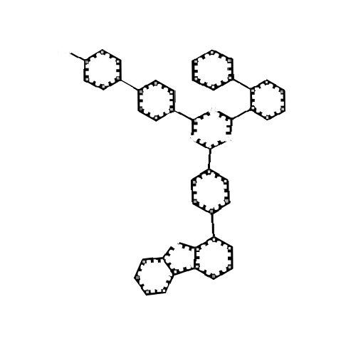 CC(C)(C)c1ccc(-c2ccc(-c3nc(-c4ccc(-c5cccc6c5sc5ccccc56)cc4)nc(-c4ccccc4-c4ccccc4)n3)cc2)cc1